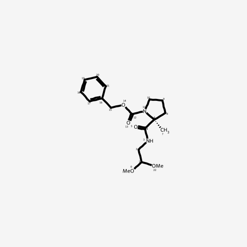 COC(CNC(=O)[C@]1(C)CCCN1C(=O)OCc1ccccc1)OC